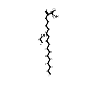 C=C(CCCCCCCCCCCCCCCC)C(=O)O.CCO